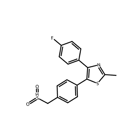 Cc1nc(-c2ccc(F)cc2)c(-c2ccc(C[SH](=O)=O)cc2)s1